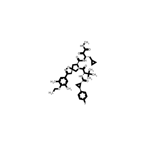 CCOc1c(C)cc(C2=NO[C@]3(C2)C[C@@H](C(=O)N[C@@H](CC2CC2)C(=O)C(=O)NC)N(C(=O)[C@@H](NC(=O)[C@H]2C[C@@H]2c2ccc(F)cc2)C(C)(C)C)C3)cc1C